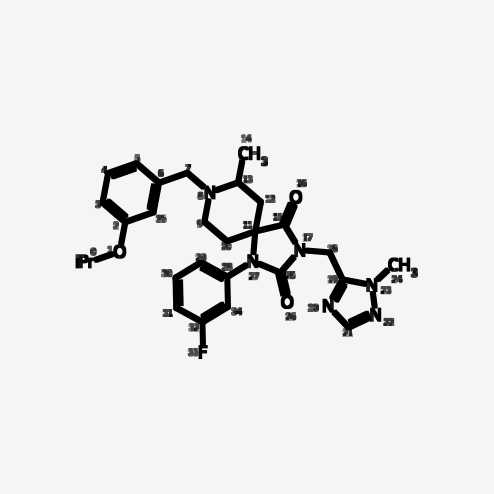 CC(C)Oc1cccc(CN2CCC3(CC2C)C(=O)N(Cc2ncnn2C)C(=O)N3c2cccc(F)c2)c1